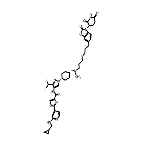 CN(CCCOCCCc1ccc2c(c1)oc(=O)n2C1CCC(=O)NC1=O)C[C@H]1CC[C@H](n2cc(NC(=O)c3coc(-c4ccnc(NCC5CC5)c4)n3)c(C(F)F)n2)CC1